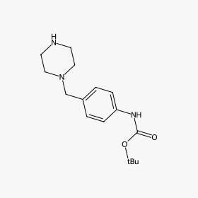 CC(C)(C)OC(=O)Nc1ccc(CN2CCNCC2)cc1